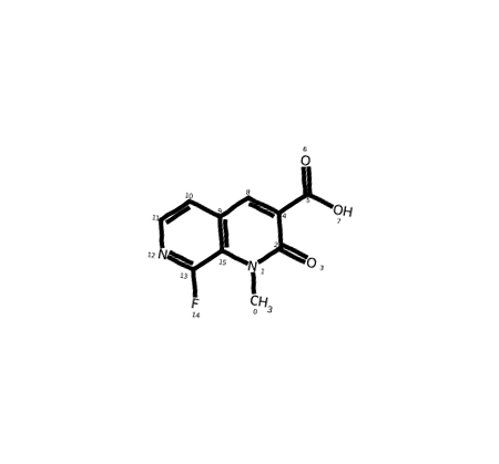 Cn1c(=O)c(C(=O)O)cc2ccnc(F)c21